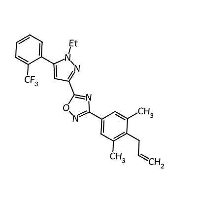 C=CCc1c(C)cc(-c2noc(-c3cc(-c4ccccc4C(F)(F)F)n(CC)n3)n2)cc1C